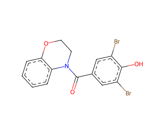 O=C(c1cc(Br)c(O)c(Br)c1)N1CCOc2ccccc21